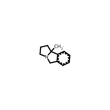 [CH2]C12CCCN1Cc1ccccc12